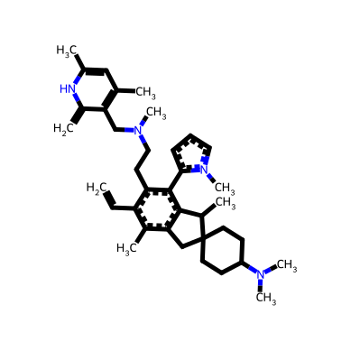 C=Cc1c(C)c2c(c(-c3cccn3C)c1CCN(C)CC1=C(C)C=C(C)NC1=C)C(C)C1(CCC(N(C)C)CC1)C2